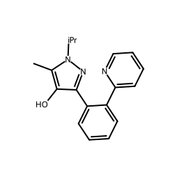 Cc1c(O)c(-c2ccccc2-c2ccccn2)nn1C(C)C